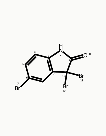 O=C1Nc2ccc(Br)cc2C1(Br)Br